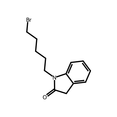 O=C1Cc2ccccc2N1CCCCCBr